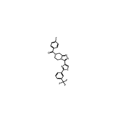 O=C(c1ccc(F)cc1)N1CCn2c(nnc2-c2csc(-c3cccc(C(F)(F)F)c3)n2)C1